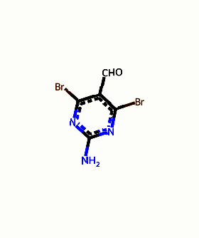 Nc1nc(Br)c(C=O)c(Br)n1